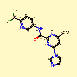 COc1cc(-n2ccnc2)nc(C(=O)Nc2ccc(C(F)F)nc2)n1